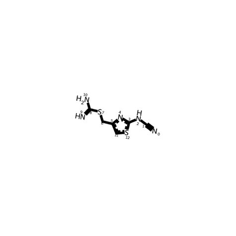 N#CNc1nc(CSC(=N)N)cs1